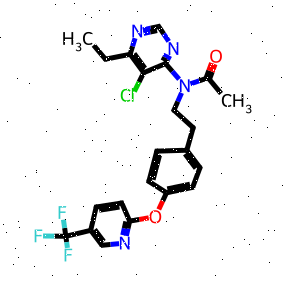 CCc1ncnc(N(CCc2ccc(Oc3ccc(C(F)(F)F)cn3)cc2)C(C)=O)c1Cl